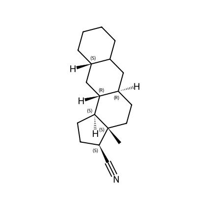 C[C@]12CC[C@@H]3CC4CCCC[C@H]4C[C@H]3[C@@H]1CC[C@@H]2C#N